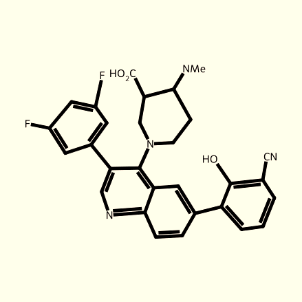 CNC1CCN(c2c(-c3cc(F)cc(F)c3)cnc3ccc(-c4cccc(C#N)c4O)cc23)CC1C(=O)O